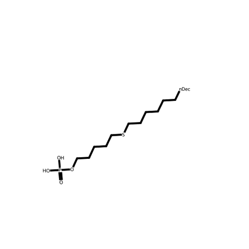 CCCCCCCCCCCCCCCCSCCCCCOP(=O)(O)O